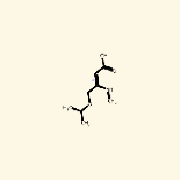 CN/C(=C\C(=O)O)COC(C)C